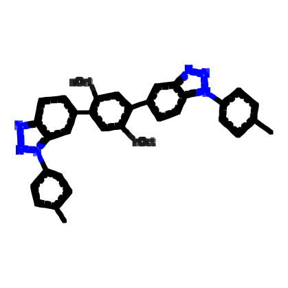 CCCCCCCCc1cc(-c2ccc3nnn(-c4ccc(C)cc4)c3c2)c(CCCCCCCC)cc1-c1ccc2c(c1)nnn2-c1ccc(C)cc1